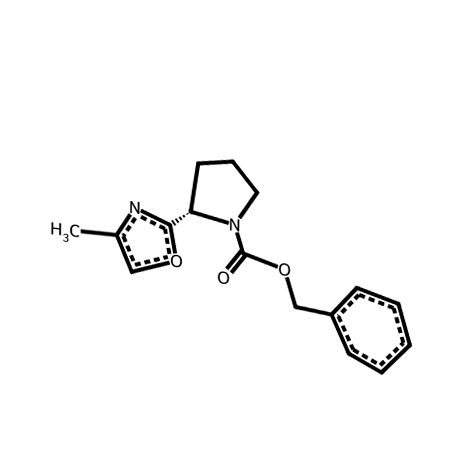 Cc1coc([C@@H]2CCCN2C(=O)OCc2ccccc2)n1